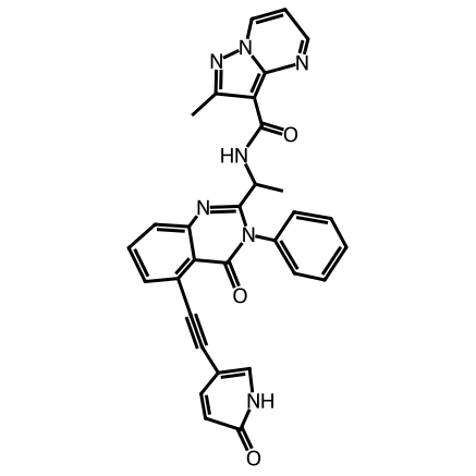 Cc1nn2cccnc2c1C(=O)NC(C)c1nc2cccc(C#Cc3ccc(=O)[nH]c3)c2c(=O)n1-c1ccccc1